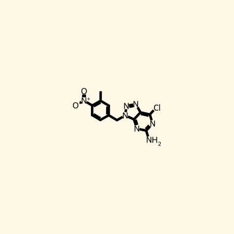 Cc1cc(Cn2nnc3c(Cl)nc(N)nc32)ccc1[N+](=O)[O-]